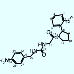 CSc1ccccc1C1CCCN1C(=O)CNC(=O)NCc1ccc(N)cc1